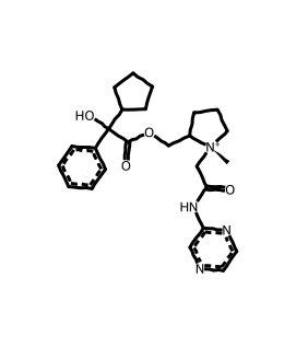 C[N@+]1(CC(=O)Nc2cnccn2)CCCC1COC(=O)C(O)(c1ccccc1)C1CCCC1